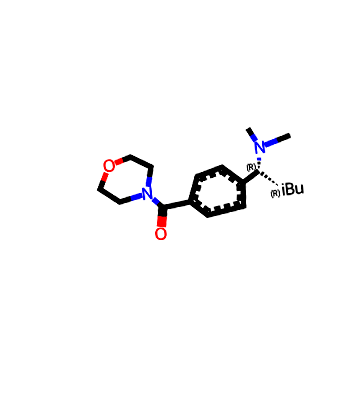 CC[C@@H](C)[C@H](c1ccc(C(=O)N2CCOCC2)cc1)N(C)C